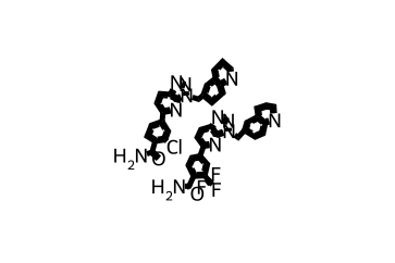 NC(=O)c1ccc(-c2ccc3nnn(Cc4ccc5ncccc5c4)c3n2)cc1C(F)(F)F.NC(=O)c1ccc(-c2ccc3nnn(Cc4ccc5ncccc5c4)c3n2)cc1Cl